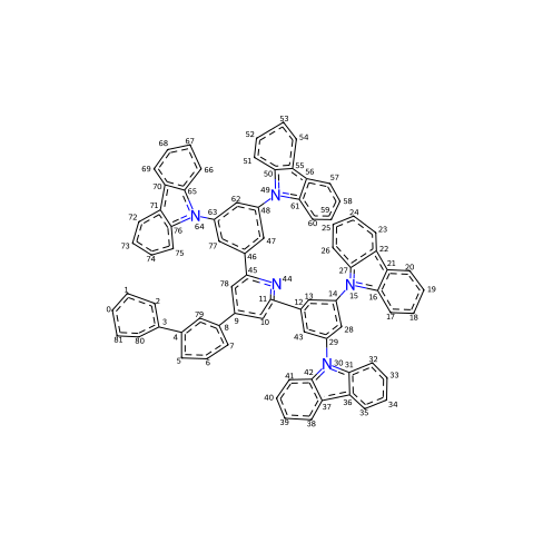 c1ccc(-c2cccc(-c3cc(-c4cc(-n5c6ccccc6c6ccccc65)cc(-n5c6ccccc6c6ccccc65)c4)nc(-c4cc(-n5c6ccccc6c6ccccc65)cc(-n5c6ccccc6c6ccccc65)c4)c3)c2)cc1